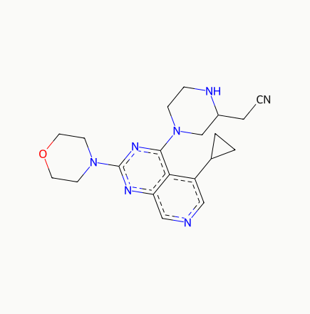 N#CCC1CN(c2nc(N3CCOCC3)nc3cncc(C4CC4)c23)CCN1